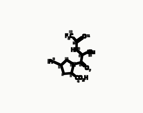 CC(C)C1CC(C(=O)O)N(C(=O)C(NC(=O)C(F)(F)F)C(C)(C)C)C1